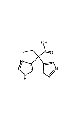 CCC(C(=O)O)(C1=CN=CC1)c1c[nH]cn1